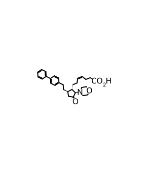 O=C(O)CC/C=C\CC[C@H]1[C@H](CCc2ccc(-c3ccccc3)cc2)CC(=O)[C@@H]1N1CCOCC1